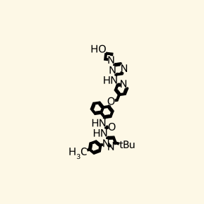 Cc1ccc(-n2nc(C(C)(C)C)cc2NC(=O)Nc2ccc(OCc3ccnc(Nc4cncc(N5CC(O)C5)n4)c3)c3ccccc23)cc1